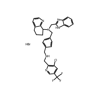 Br.FC(F)(F)c1cnc(CNCc2ccc(CN(Cc3nc4ccccc4[nH]3)C3CCCc4cccnc43)cc2)c(Cl)c1